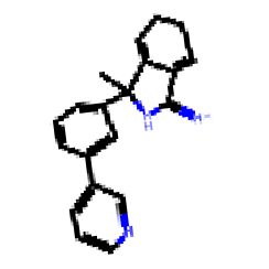 CC1(c2cccc(-c3cccnc3)c2)NC(=N)C2=CCCC=C21